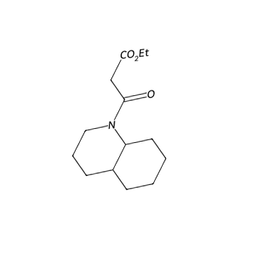 CCOC(=O)CC(=O)N1CCCC2CCCCC21